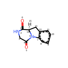 O=C1NCC(=O)N2c3ccccc3C[C@H]12